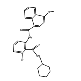 COc1ccc(C(=O)Nc2ccc[n+]([O-])c2C(=O)NCC2CCCCC2)c2ccccc12